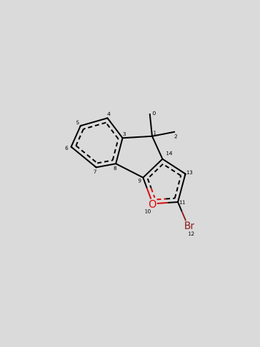 CC1(C)c2ccccc2-c2oc(Br)cc21